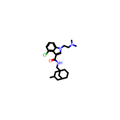 CC1CC2CCCC(CNC(=O)c3cn(CCN(C)C)c4cccc(Cl)c34)(C1)C2